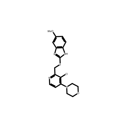 COc1ccc2[nH]c(SCc3nccc(N4CCOCC4)c3Cl)nc2c1